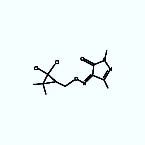 CC1=NN(C)C(=O)C1=NOCC1C(C)(C)C1(Cl)Cl